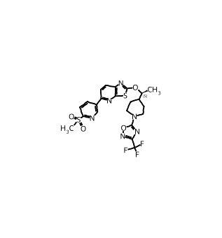 C[C@H](Oc1nc2ccc(-c3ccc(S(C)(=O)=O)nc3)nc2s1)C1CCN(c2nc(C(F)(F)F)no2)CC1